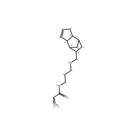 C=CC(=O)OCCCOCC1CC2CC1C1C=CCC21